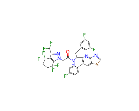 O=C(Cn1nc(C(F)F)c2c1C(F)(F)CCC2(F)F)NC(Cc1cc(F)cc(F)c1)c1nc2ncsc2cc1-c1ccc(F)cc1